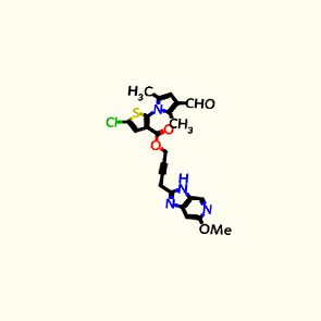 COc1cc2nc(CC#CCOC(=O)c3cc(Cl)sc3-n3c(C)cc(C=O)c3C)[nH]c2cn1